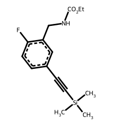 CCOC(=O)NCc1cc(C#C[Si](C)(C)C)ccc1F